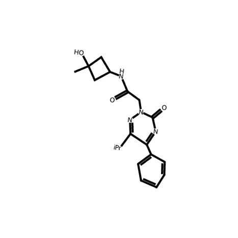 CC(C)c1nn(CC(=O)NC2CC(C)(O)C2)c(=O)nc1-c1ccccc1